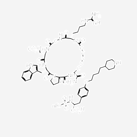 CCCCS(=O)(=O)N[C@@H](Cc1ccc(OCCCCC2CCNCC2)cc1)C(=O)O.N=C(N)NCCCC[C@@H]1NC(=O)CCSSC[C@@H](C(N)=O)NC(=O)[C@@H]2CCCN2C(=O)[C@H](Cc2c[nH]c3ccccc23)NC(=O)[C@H](CC(=O)O)NC(=O)CNC1=O